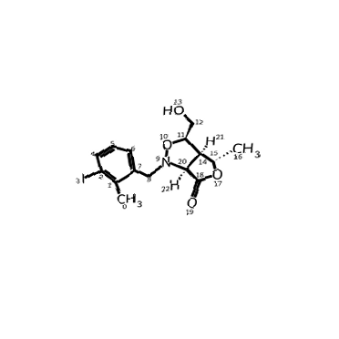 Cc1c(I)cccc1CN1O[C@@H](CO)[C@H]2[C@H](C)OC(=O)[C@H]21